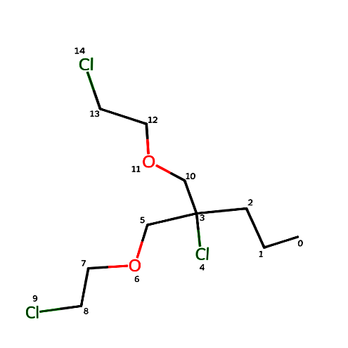 CCCC(Cl)(COCCCl)COCCCl